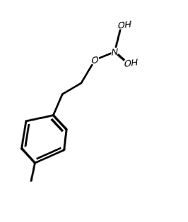 Cc1ccc(CCON(O)O)cc1